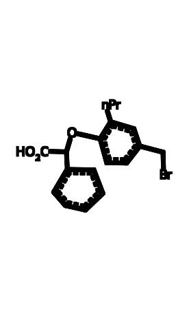 CCCc1cc(CBr)ccc1OC(C(=O)O)c1ccccc1